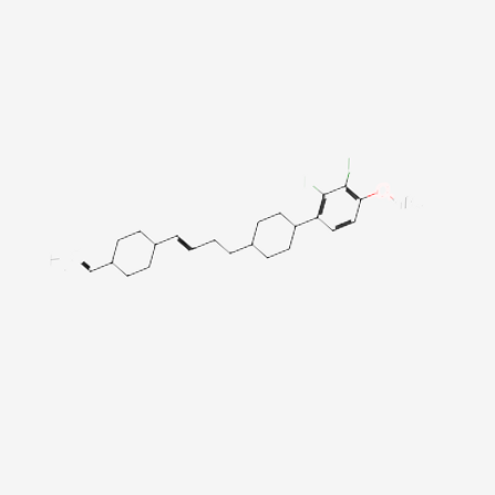 C=CC1CCC(C=CCCC2CCC(c3ccc(OCCCC)c(F)c3F)CC2)CC1